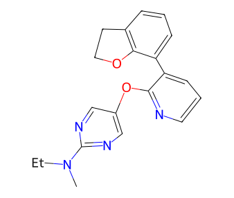 CCN(C)c1ncc(Oc2ncccc2-c2cccc3c2OCC3)cn1